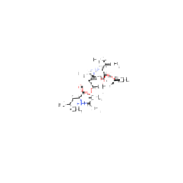 CC(C)CC(NC(C)C)C(=O)OC(C)CC(C)(C)N[C@H](C(=O)OC(C)C)C(C)C